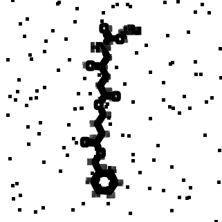 CC(C)(C)OC(=O)NCC(=O)CCC(=O)OCCCC(=O)OCc1ccccc1